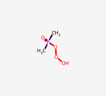 CP(C)(=O)OOO